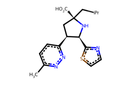 Cc1ccc([C@H]2C[C@@](CC(C)C)(C(=O)O)N[C@H]2c2nccs2)nn1